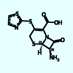 N[C@@H]1C(=O)N2C(C(=O)O)=C(Sc3nccs3)CS[C@H]12